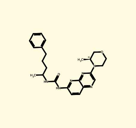 CC(CCCc1ccccc1)NC(=O)Nc1ccc2ncc(N3CCOC[C@@H]3C)nc2n1